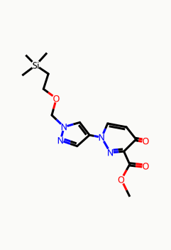 COC(=O)c1nn(-c2cnn(COCC[Si](C)(C)C)c2)ccc1=O